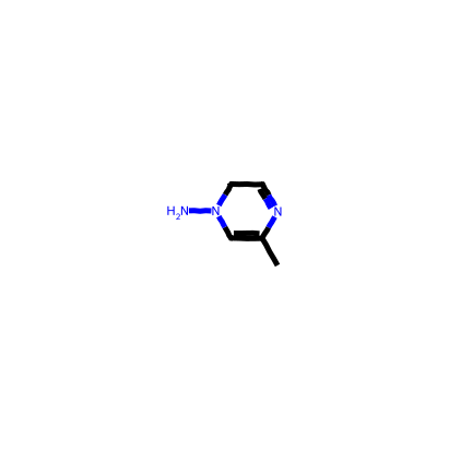 CC1=CN(N)[CH]C=N1